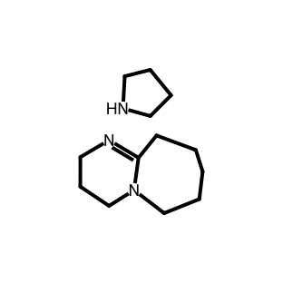 C1CCC2=NCCCN2CC1.C1CCNC1